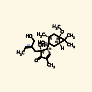 C/C=C(/CO)C[C@]1(O)C(=O)C(C)=C[C@H]1[C@]1(O)C[C@@H]2C(C)(C)[C@]2(OC)C[C@H]1C